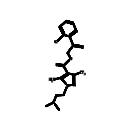 CN(C)CCn1nc(C(F)(F)F)c(C(=O)OCC(=O)c2ccccc2Cl)c1N